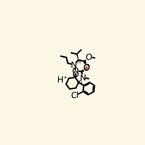 CCCN(OC(=O)N(C)[C@]1(c2ccccc2Cl)CCCCC1=O)[C@H](C(=O)OC)C(C)C.[H+]